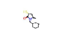 C=C1CC(S)C(=O)N1CC1CCCCC1